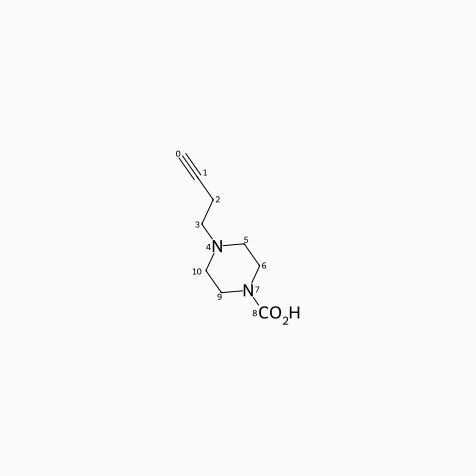 C#CCCN1CCN(C(=O)O)CC1